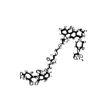 CCC(=O)N1CCN(c2ncnc3c(F)c(-c4c(F)cccc4OCCOCCOCCC(=O)NCCNc4cccc5c4C(=O)N(C4CCC(=O)NC4=O)C5=O)c(C)cc23)CC1